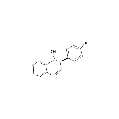 OC1c2ccccc2C=C[C@@H]1c1ccc(F)cc1